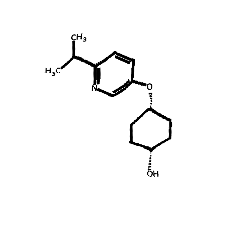 CC(C)c1ccc(O[C@H]2CC[C@@H](O)CC2)cn1